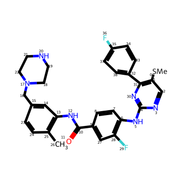 CSc1cnc(Nc2ccc(C(=O)Nc3cc(CN4CCNCC4)ccc3C)cc2F)nc1-c1ccc(F)cc1